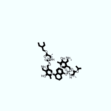 CCC(CC)COC(=O)[C@H](C)N[PH](=O)OCc1c[n+](C2CCCc3c(OP(=O)(N[C@@H](C)C(=O)OC(C)C)OCc4cnc(C)c(O)c4CN)cccc32)c(C)c(O)c1CN